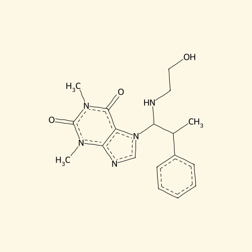 CC(c1ccccc1)C(NCCO)n1cnc2c1c(=O)n(C)c(=O)n2C